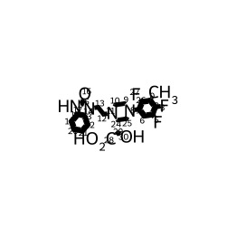 Cc1c(F)c(F)cc(N2CCN(CCn3c(=O)[nH]c4ccccc43)CC2)c1F.O=C(O)CO